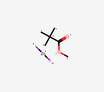 [CH2]OC(=O)C(C)(C)C.[I][Zn][I]